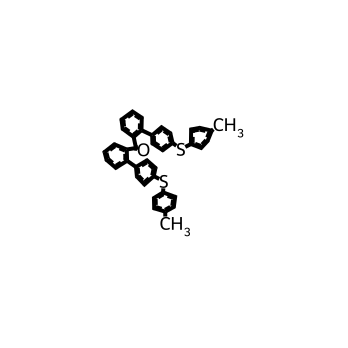 Cc1ccc(Sc2ccc(-c3ccccc3C(=O)c3ccccc3-c3ccc(Sc4ccc(C)cc4)cc3)cc2)cc1